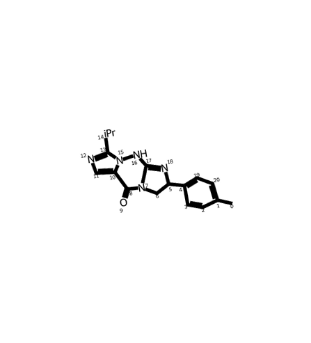 Cc1ccc(C2CN3C(=O)c4cnc(C(C)C)n4NC3=N2)cc1